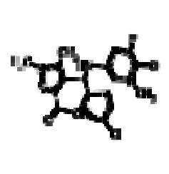 Cc1c(C(Nc2cc(F)c(=O)n(C)c2)c2ccc(Cl)cc2)c(C(=O)O)nn1C